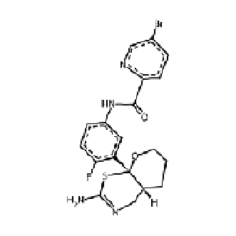 NC1=NC[C@H]2CCCO[C@@]2(c2cc(NC(=O)c3ccc(Br)cn3)ccc2F)S1